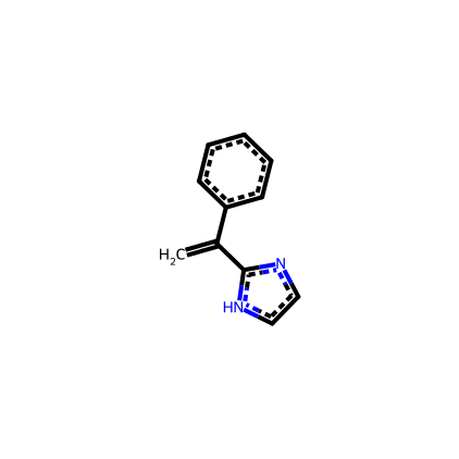 C=C(c1ccccc1)c1ncc[nH]1